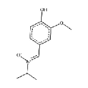 COc1cc(C=[N+]([O-])C(C)C)ccc1O